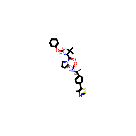 Cc1ncsc1-c1ccc([C@H](C)NC(=O)[C@@H]2CCCN2C(=O)[C@@H](NC(=O)Oc2ccccc2)C(C)(C)C)cc1